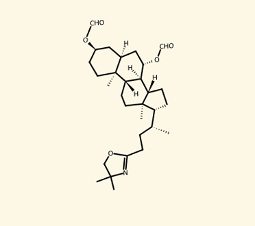 C[C@H](CCC1=NC(C)(C)CO1)[C@H]1CC[C@H]2[C@@H]3[C@@H](OC=O)C[C@@H]4C[C@H](OC=O)CC[C@]4(C)[C@H]3CC[C@]12C